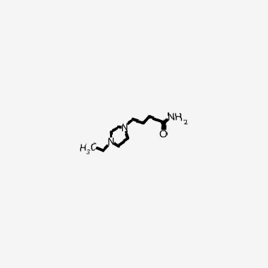 CCN1CCN(CCCC(N)=O)CC1